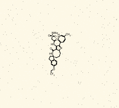 CNS(=O)(=O)CC(=O)NC1=C2C(=O)N[C@@]3(CCCC2N=C1C1=CNC=C(C)C=C1)CCc1cc(OCC(F)(F)F)ccc13